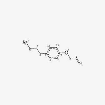 C=CCOc1ccc(CCCBr)cc1